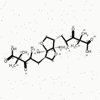 CC(C[C@H]1CO[C@@H]2[C@H](CC(C)C(=O)C(C)(C)C(=O)O)CO[C@H]12)C(=O)C(C)(C)C(=O)O